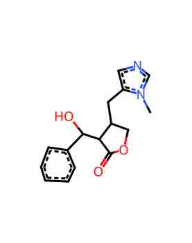 Cn1cncc1CC1COC(=O)C1C(O)c1ccccc1